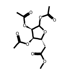 COC(=O)C[C@H]1OC(OC(C)=O)[C@H](OC(C)=O)[C@@H]1OC(C)=O